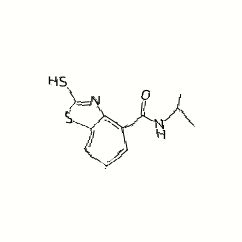 CC(C)NC(=O)c1c[c]cc2sc(S)nc12